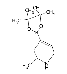 CC1CC(B2OC(C)(C)C(C)(C)O2)=CCN1